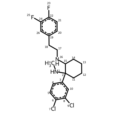 CNC1(c2ccc(Cl)c(Cl)c2)CCCCC1NCCc1ccc(F)c(F)c1